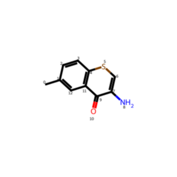 Cc1ccc2scc(N)c(=O)c2c1